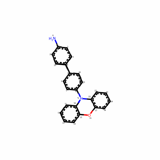 Nc1ccc(-c2ccc(N3c4ccccc4Oc4ccccc43)cc2)cc1